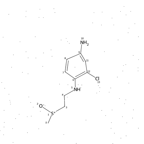 C[S+]([O-])CCNc1ccc(N)cc1Cl